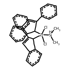 C[SiH](C)[Zr]([Cl])([Cl])([CH]1C(c2ccccc2)=Cc2ccccc21)[CH]1C(c2ccccc2)=Cc2ccccc21